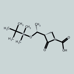 C[C@@H](O[Si](C)(C)C(C)(C)C)[C@@H]1[CH]N(C(=O)O)C1=O